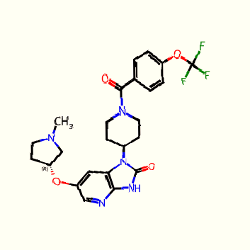 CN1CC[C@@H](Oc2cnc3[nH]c(=O)n(C4CCN(C(=O)c5ccc(OC(F)(F)F)cc5)CC4)c3c2)C1